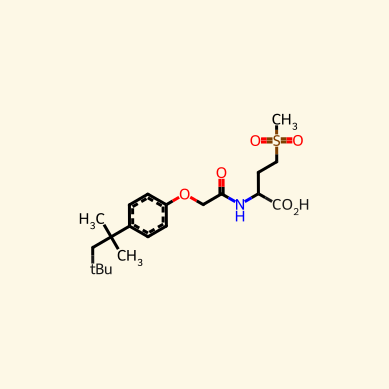 CC(C)(C)CC(C)(C)c1ccc(OCC(=O)NC(CCS(C)(=O)=O)C(=O)O)cc1